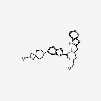 CCCCC(Cc1cc2ccccc2[nH]1)NC(=O)c1cc2ccc(N3CCC4(CC3)CN(C)C4)cc2s1